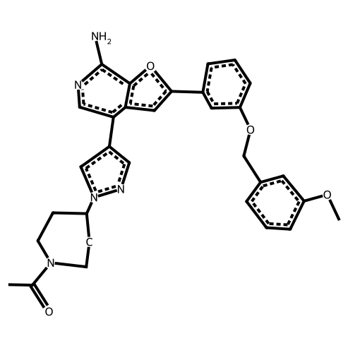 COc1cccc(COc2cccc(-c3cc4c(-c5cnn(C6CCN(C(C)=O)CC6)c5)cnc(N)c4o3)c2)c1